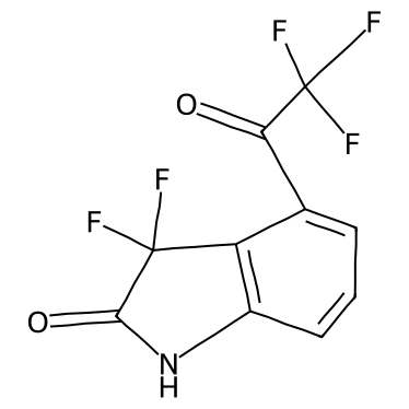 O=C(c1cccc2c1C(F)(F)C(=O)N2)C(F)(F)F